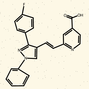 O=C(O)c1ccnc(C=Cc2cn(-c3ccccc3)nc2-c2ccc(F)cc2)c1